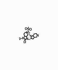 CS(=O)(=O)CCCn1c(Cn2c(=O)n(C3CC3)c3ccncc32)cc2cnccc21